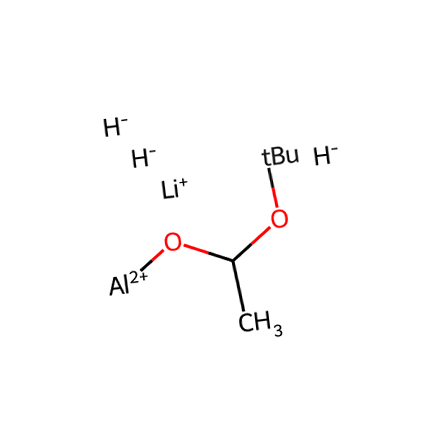 CC([O][Al+2])OC(C)(C)C.[H-].[H-].[H-].[Li+]